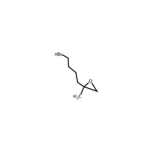 CCCCCCCCC1(C)CO1